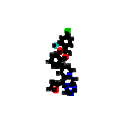 CC1(c2ccc(Cl)cc2F)Oc2cccc(C3CCN(Cc4nncn4CC4CCO4)CC3)c2O1